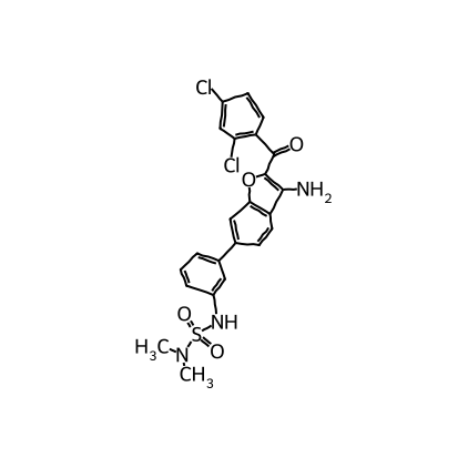 CN(C)S(=O)(=O)Nc1cccc(-c2ccc3c(N)c(C(=O)c4ccc(Cl)cc4Cl)oc3c2)c1